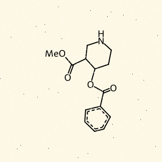 COC(=O)C1CNCCC1OC(=O)c1ccccc1